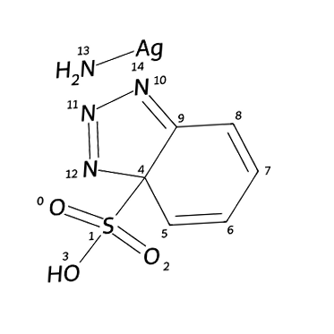 O=S(=O)(O)C12C=CC=CC1=NN=N2.[NH2][Ag]